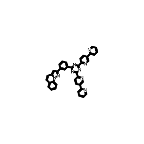 c1ccc(-c2ccc(-c3nc(-c4cccc(-c5cc6ccc7ccccc7n6n5)c4)nc(-c4ccc(-c5ccccn5)cn4)n3)nc2)nc1